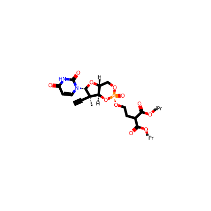 C#C[C@]1(C)[C@@H]2O[P@@](=O)(OCCC(C(=O)OC(C)C)C(=O)OC(C)C)OC[C@H]2O[C@H]1n1ccc(=O)[nH]c1=O